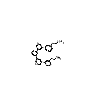 NCCc1cccc(-c2cncc(-c3cccc(-c4cncc(-c5cccc(CCN)c5)c4)c3)c2)c1